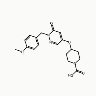 COc1ccc(Cn2ncc(OC3CCN(C(=O)O)CC3)cc2=O)cc1